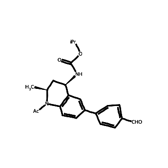 CC(=O)N1c2ccc(-c3ccc(C=O)cc3)cc2[C@H](NC(=O)OC(C)C)C[C@@H]1C